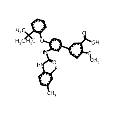 COc1ccc(-c2ccc(Oc3ccccc3C(C)(C)C)c(NC(=O)Nc3ccc(C)cc3F)c2)cc1C(=O)O